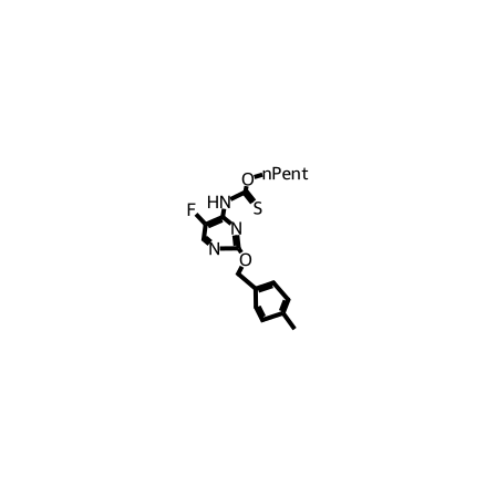 CCCCCOC(=S)Nc1nc(OCc2ccc(C)cc2)ncc1F